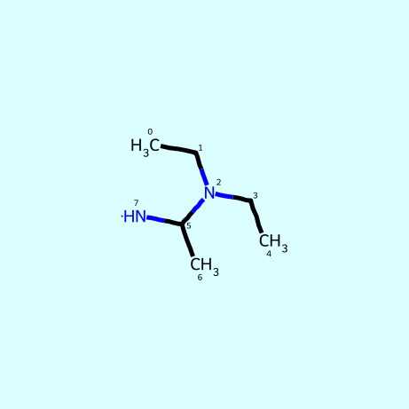 CCN(CC)C(C)[NH]